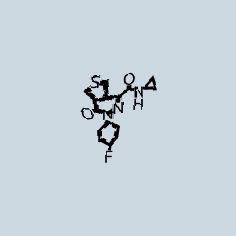 O=C(NC1CC1)c1nn(-c2ccc(F)cc2)c(=O)c2cscc12